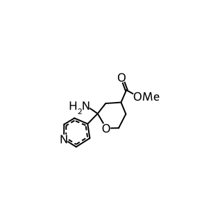 COC(=O)C1CCOC(N)(c2ccncc2)C1